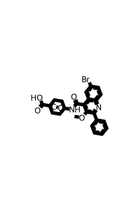 COc1c(-c2ccccc2)nc2ccc(Br)cc2c1C(=O)NC12CCC(C(=O)O)(CC1)CC2